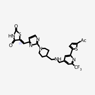 CC(=O)c1ccc(-c2cc(CNCC3CCN(c4nccc(/C=C5\SC(=O)NC5=O)n4)CC3)cc(C(F)(F)F)n2)s1